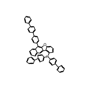 c1ccc(-c2ccc(-c3ccc(-c4c5ccccc5cc5c4oc4cccc(N(c6ccc(-c7ccccc7)cc6)c6ccc(-c7ccccc7)cc6)c45)cc3)cc2)cc1